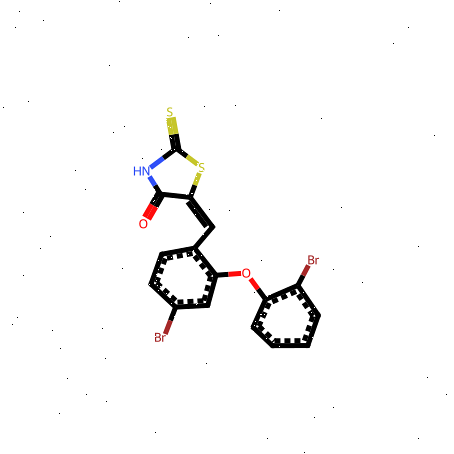 O=C1NC(=S)SC1=Cc1ccc(Br)cc1Oc1ccccc1Br